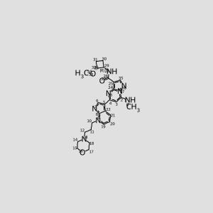 CNc1cc(-c2cnc3n(CCCN4CCOCC4)cccc2-3)nc2c(C(=O)N[C@@H]3CC[C@H]3OC)cnn12